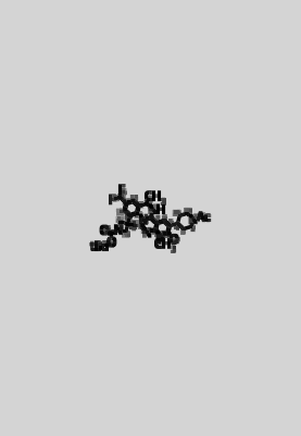 CC(=O)N1CCC(c2cc3c(NC(C)c4cc(C(F)F)cc(C5(F)CN(C(=O)OC(C)(C)C)C5)c4)ncnc3n(C)c2=O)CC1